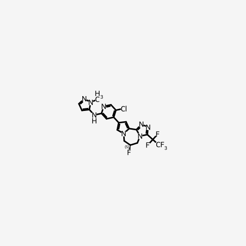 Cn1nccc1Nc1cc(-c2cc3n(c2)C[C@H](F)Cn2c-3nnc2C(F)(F)C(F)(F)F)c(Cl)cn1